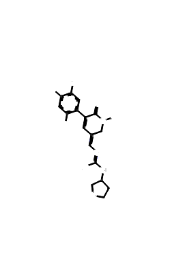 CCN1C/C(=C\N=C(/C)NC2CCOC2)C=C(c2cc(N)c(F)cc2Cl)C1=O